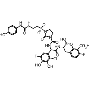 O=C(NCCS(=O)(=O)N1CCN(C(=O)NC(C(=O)N[C@H]2Cc3ccc(F)c(C(=O)O)c3OB2O)c2cc(F)c(O)c(O)c2Cl)C1=O)Nc1ccc(O)cc1